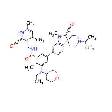 CCN(c1cc(-c2ccc3c(c2)N(C)C(=C=O)C32CCN(C(C)C)CC2)cc(C(=O)NCC2=C(C)C=C(C)NC2=C=O)c1C)C1CCOCC1